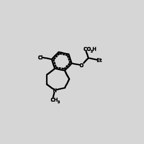 CCC(Oc1ccc(Cl)c2c1CCN(C)CC2)C(=O)O